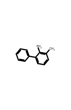 Cc1cccc(-c2ccccc2)c1P